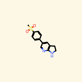 CS(=O)(=O)c1ccc(-c2cnc3c(c2)CCN3)cc1